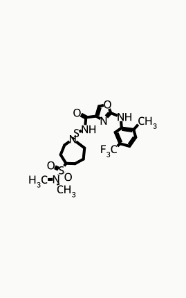 Cc1ccc(C(F)(F)F)cc1Nc1nc(C(=O)NSN2CCCC(S(=O)(=O)N(C)C)CC2)co1